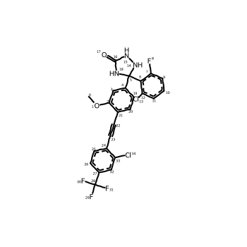 COc1cc(C2(c3c(F)cccc3Cl)NNC(=O)N2)ccc1C#Cc1ccc(C(F)(F)F)cc1Cl